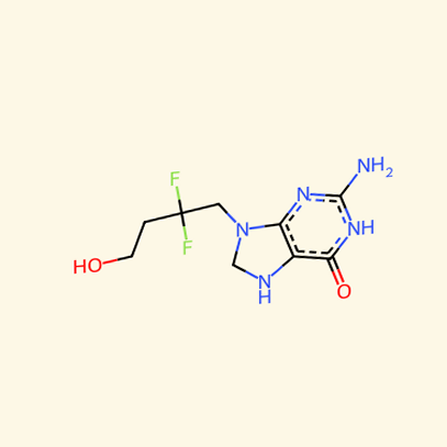 Nc1nc2c(c(=O)[nH]1)NCN2CC(F)(F)CCO